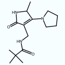 CC1NC(=O)C(CNC(=O)C(C)(C)C)=C1N1CCCC1